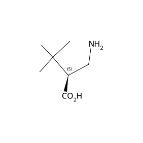 CC(C)(C)[C@@H](CN)C(=O)O